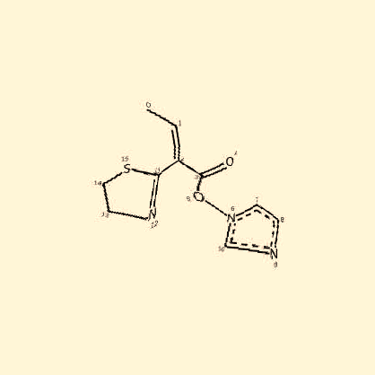 CC=C(C(=O)On1ccnc1)C1=NCCS1